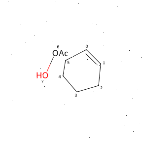 C1=CCCCC1.CC(=O)OO